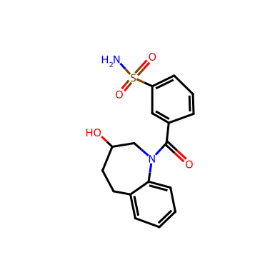 NS(=O)(=O)c1cccc(C(=O)N2CC(O)CCc3ccccc32)c1